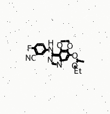 CCOC(C)Oc1cc2ncnc(Nc3ccc(F)c(C#N)c3)c2c2c1OCCO2